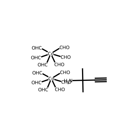 C#CC(C)(C)N.O=[CH][Co]([CH]=O)([CH]=O)([CH]=O)([CH]=O)[CH]=O.O=[CH][Co]([CH]=O)([CH]=O)([CH]=O)([CH]=O)[CH]=O